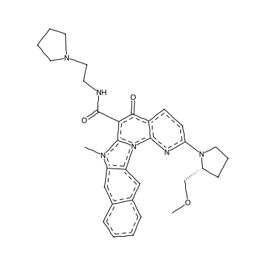 COC[C@H]1CCCN1c1ccc2c(=O)c(C(=O)NCCN3CCCC3)c3n(C)c4cc5ccccc5cc4n3c2n1